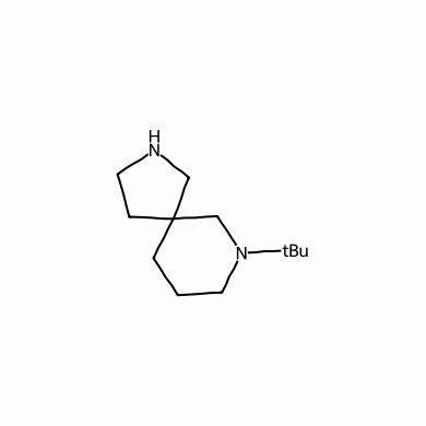 CC(C)(C)N1CCCC2(CCNC2)C1